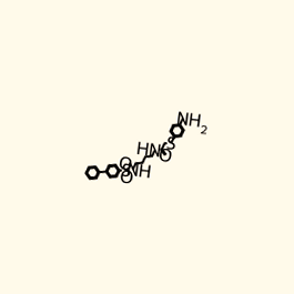 Nc1ccc(SCC(=O)NCCCCNS(=O)(=O)c2ccc(-c3ccccc3)cc2)cc1